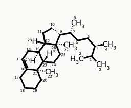 CC(C)[C@H](C)CC[C@@H](C)[C@H]1CC[C@H]2[C@@H]3CC=C4CCCC[C@]4(C)[C@H]3CC[C@]12C